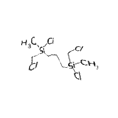 C[Si](Cl)(CCl)CCC[Si](C)(Cl)CCl